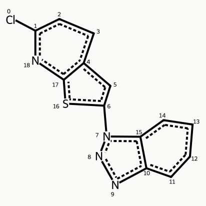 Clc1ccc2cc(-n3nnc4ccccc43)sc2n1